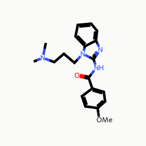 COc1ccc(C(=O)Nc2nc3ccccc3n2CCCN(C)C)cc1